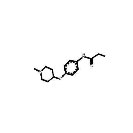 CCC(=O)Nc1ccc(OC2CCN(C)CC2)cc1